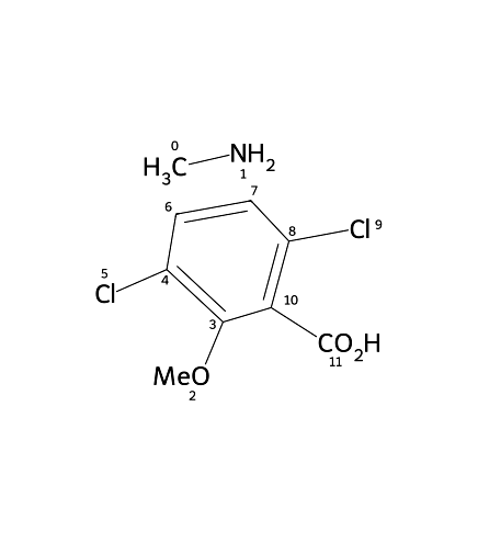 CN.COc1c(Cl)ccc(Cl)c1C(=O)O